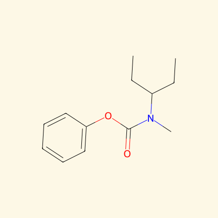 CCC(CC)N(C)C(=O)Oc1ccccc1